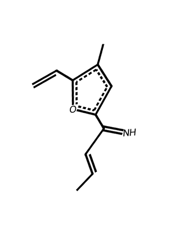 C=Cc1oc(C(=N)/C=C/C)cc1C